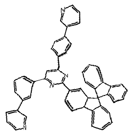 C1=CC2c3ccccc3C3(c4ccccc4-c4ccccc43)C2C=C1c1nc(-c2ccc(-c3cccnc3)cc2)cc(-c2cccc(-c3cccnc3)c2)n1